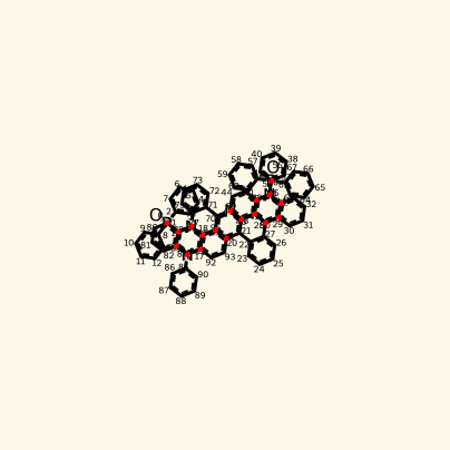 O=P(c1ccccc1)(c1ccccc1)c1cccc(-c2cc(-c3ccccc3C3c4ccccc4N(c4ccccc4)c4ccccc43)c(-c3cccc(P(=O)(c4ccccc4)c4ccccc4)c3)nc2-c2ccccc2N2c3ccccc3N(c3ccccc3)c3ccccc32)c1